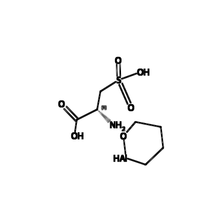 C1C[CH2][AlH][O]C1.N[C@@H](CS(=O)(=O)O)C(=O)O